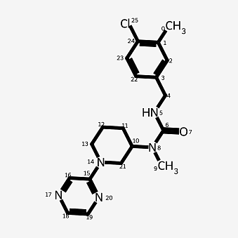 Cc1cc(CNC(=O)N(C)C2CCCN(c3cnccn3)C2)ccc1Cl